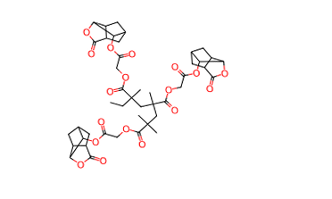 CCC(C)(CC(C)(CC(C)(C)C(=O)OCC(=O)OC1C2CC3C(=O)OC1C3C2)C(=O)OCC(=O)OC1C2CC3C(=O)OC1C3C2)C(=O)OCC(=O)OC1C2CC3C(=O)OC1C3C2